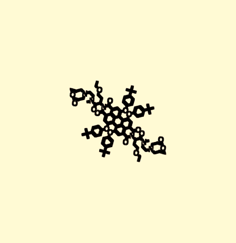 CCOCCC(C(=O)N(C)CCN(CC1CO1)CC1CO1)N1C(=O)c2cc(Oc3ccc(C(C)(C)C)cc3)c3c4c(Oc5ccc(C(C)(C)C)cc5)cc5c6c(cc(Oc7ccc(C(C)(C)C)cc7)c(c7c(Oc8ccc(C(C)(C)C)cc8)cc(c2c37)C1=O)c64)C(=O)N(C(CCOCC)C(=O)N(C)CCN(CC1CO1)CC1CO1)C5=O